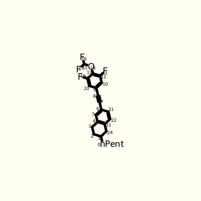 CCCCCC1CCc2cc(C#Cc3cc(F)c(OC(F)F)c(F)c3)ccc2C1